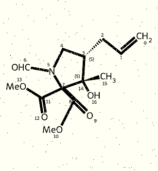 C=CC[C@H]1CN(C=O)C(C(=O)OC)(C(=O)OC)[C@@]1(C)O